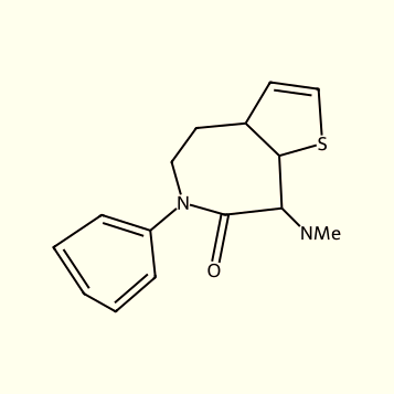 CNC1C(=O)N(c2ccccc2)CCC2C=CSC21